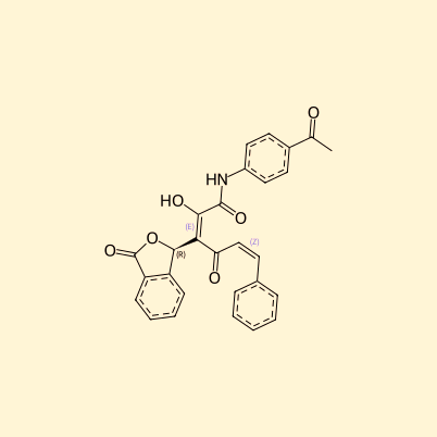 CC(=O)c1ccc(NC(=O)/C(O)=C(\C(=O)/C=C\c2ccccc2)[C@@H]2OC(=O)c3ccccc32)cc1